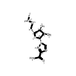 NC(=O)c1ncn([C@@H]2O[C@H](COPF)[C@@H](O)[C@H]2O)n1